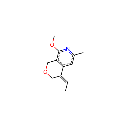 CC=C1COCc2c1cc(C)nc2OC